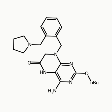 CCCCOc1nc(N)c2c(n1)N(Cc1ccccc1CN1CCCC1)CC(=O)N2